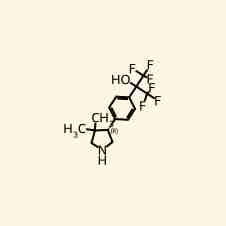 CC1(C)CNC[C@@H]1c1ccc(C(O)(C(F)(F)F)C(F)(F)F)cc1